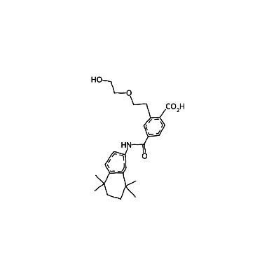 CC1(C)CCC(C)(C)c2cc(NC(=O)c3ccc(C(=O)O)c(CCOCCO)c3)ccc21